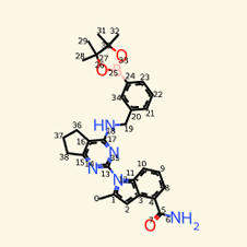 Cc1cc2c(C(N)=O)cccc2n1-c1nc2c(c(NCc3cccc(B4OC(C)(C)C(C)(C)O4)c3)n1)CCC2